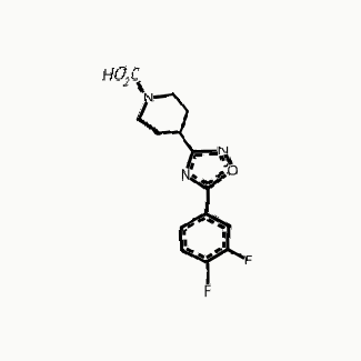 O=C(O)N1CCC(c2noc(-c3ccc(F)c(F)c3)n2)CC1